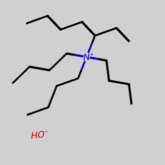 CCCCC(CC)[N+](CCCC)(CCCC)CCCC.[OH-]